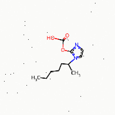 CCCCCC(C)n1ccnc1OC(=O)O